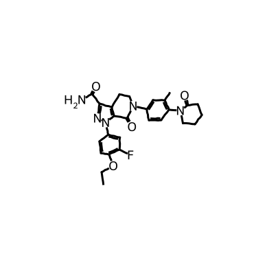 CCOc1ccc(-n2nc(C(N)=O)c3c2C(=O)N(c2ccc(N4CCCCC4=O)c(C)c2)CC3)cc1F